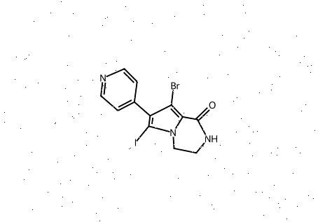 O=C1NCCn2c(I)c(-c3ccncc3)c(Br)c21